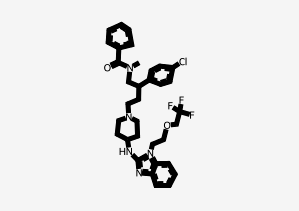 CN(CC(CCN1CCC(Nc2nc3ccccc3n2CCOCC(F)(F)F)CC1)c1ccc(Cl)cc1)C(=O)c1ccccc1